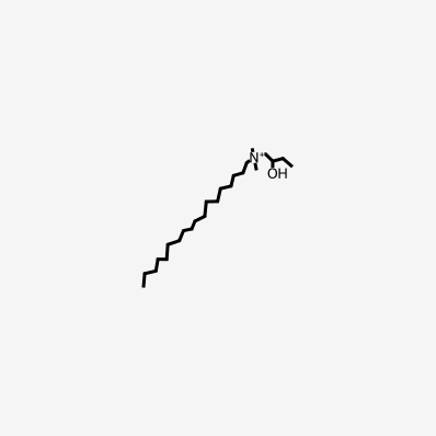 CCCCCCCCCCCCCCCCCC[N+](C)(C)CC(O)CC